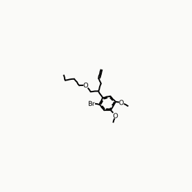 C=CCC(COCCCC)c1cc(OC)c(OC)cc1Br